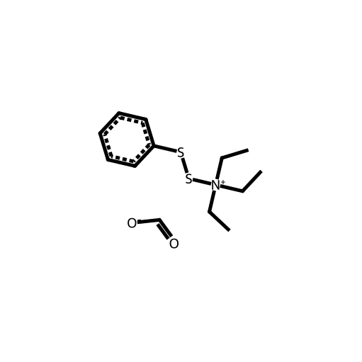 CC[N+](CC)(CC)SSc1ccccc1.O=C[O-]